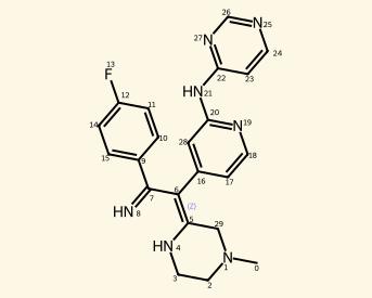 CN1CCN/C(=C(\C(=N)c2ccc(F)cc2)c2ccnc(Nc3ccncn3)c2)C1